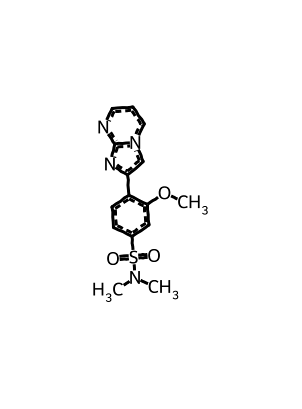 COc1cc(S(=O)(=O)N(C)C)ccc1-c1cn2cccnc2n1